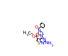 CCOC(=O)c1csc2nc(N)nc(N3CCN(C(=O)c4ccccc4)CC3)c12